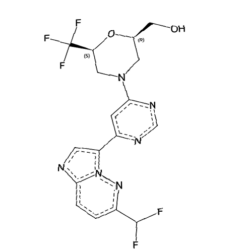 OC[C@H]1CN(c2cc(-c3cnc4ccc(C(F)F)nn34)ncn2)C[C@@H](C(F)(F)F)O1